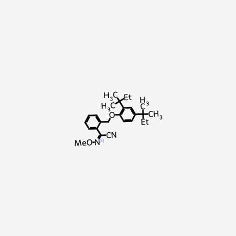 CCC(C)(C)c1ccc(OCc2ccccc2/C(C#N)=N\OC)c(C(C)(C)CC)c1